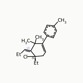 CC/C=C1/C(C)(C)C(c2ccc(C)cc2)=CC[C@@]1(Cl)CC